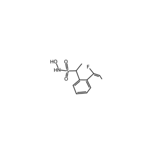 C/C=C(/F)c1ccccc1C(C)S(=O)(=O)NO